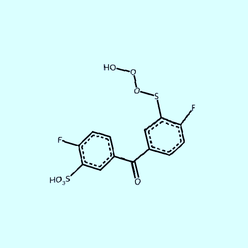 O=C(c1ccc(F)c(SOOO)c1)c1ccc(F)c(S(=O)(=O)O)c1